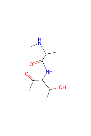 CNC(C)C(=O)NC(C(C)=O)C(C)O